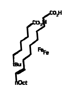 CC(C)(C)CCCCCC(=O)O.CCCCCCCCC=CCCCCCCCC(=O)O.[Fe].[Fe]